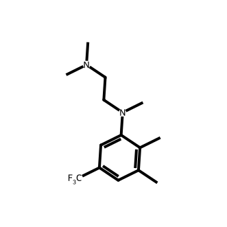 Cc1cc(C(F)(F)F)cc(N(C)CCN(C)C)c1C